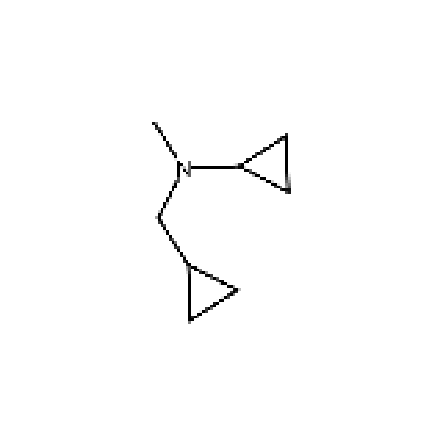 CN(CC1CC1)C1CC1